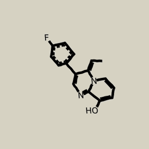 CC=C1C(c2ccc(F)cc2)=CN=C2C(O)=CC=CN12